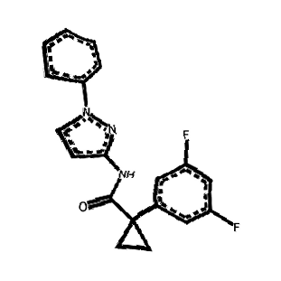 O=C(Nc1ccn(-c2ccccc2)n1)C1(c2cc(F)cc(F)c2)CC1